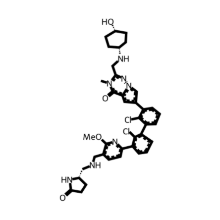 COc1nc(-c2cccc(-c3cccc(-c4cc5c(=O)n(C)c(CN[C@H]6CC[C@@H](O)CC6)nn5c4)c3Cl)c2Cl)ccc1CNC[C@@H]1CCC(=O)N1